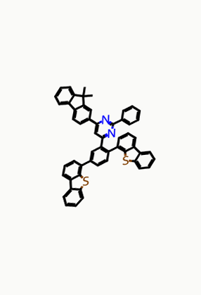 CC1(C)c2ccccc2-c2ccc(-c3cc(-c4cc(-c5cccc6c5sc5ccccc56)ccc4-c4cccc5c4sc4ccccc45)nc(-c4ccccc4)n3)cc21